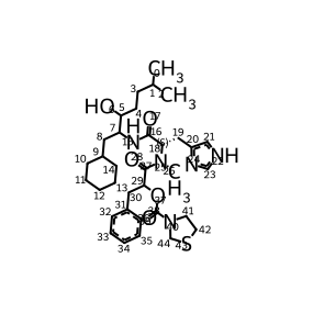 CC(C)CCC(O)C(CC1CCCCC1)NC(=O)[C@H](Cc1c[nH]cn1)N(C)C(=O)C(Cc1ccccc1)OC(=O)N1CCSC1